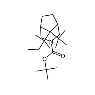 CCC(C)(C)C1(C(C)(C)C)C2CCC1CN(C(=O)OC(C)(C)C)C2